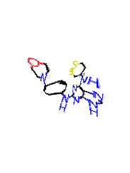 c1nc2c(N[C@H]3CCSSC3)nc(Nc3ccc(N4CCOCC4)cc3)nc2[nH]1